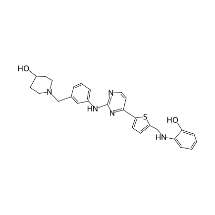 Oc1ccccc1NCc1ccc(-c2ccnc(Nc3cccc(CN4CCC(O)CC4)c3)n2)s1